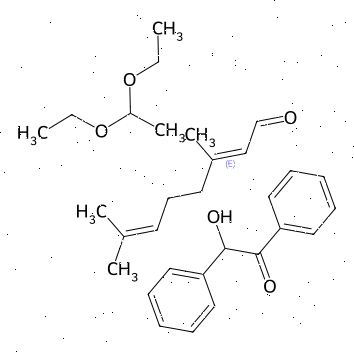 CC(C)=CCC/C(C)=C/C=O.CCOC(C)OCC.O=C(c1ccccc1)C(O)c1ccccc1